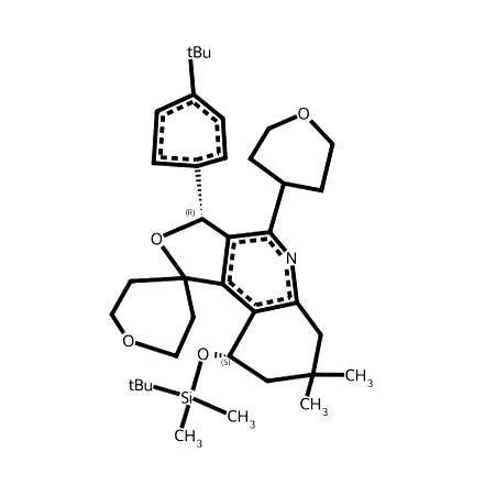 CC1(C)Cc2nc(C3CCOCC3)c3c(c2[C@@H](O[Si](C)(C)C(C)(C)C)C1)C1(CCOCC1)O[C@@H]3c1ccc(C(C)(C)C)cc1